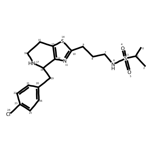 CC(C)S(=O)(=O)NCCCc1nc2c(s1)CCNC2Cc1ccc(Cl)cc1